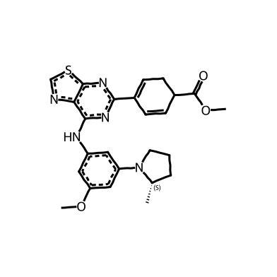 COC(=O)C1C=CC(c2nc(Nc3cc(OC)cc(N4CCC[C@@H]4C)c3)c3ncsc3n2)=CC1